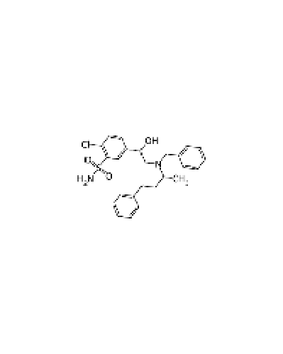 CC(CCc1ccccc1)N(Cc1ccccc1)CC(O)c1ccc(Cl)c(S(N)(=O)=O)c1